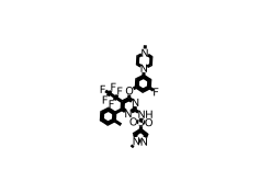 Cc1ccccc1-c1nc(NS(=O)(=O)c2cnn(C)c2)nc(Oc2cc(F)cc(N3CCN(C)CC3)c2)c1C(F)(F)C(F)(F)F